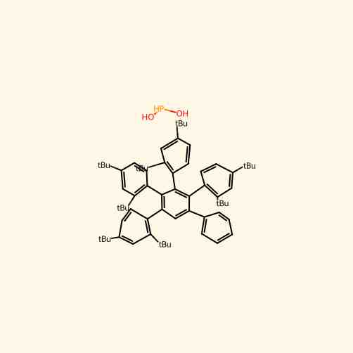 CC(C)(C)c1ccc(-c2cc(-c3ccccc3)c(-c3ccc(C(C)(C)C)cc3C(C)(C)C)c(-c3ccc(C(C)(C)C)cc3C(C)(C)C)c2-c2ccc(C(C)(C)C)cc2C(C)(C)C)c(C(C)(C)C)c1.OPO